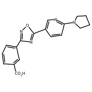 O=C(O)c1cccc(-c2noc(-c3ccc(N4CCCC4)nc3)n2)c1